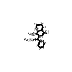 CC(=O)NC(c1ccccn1)c1cc(Cl)c2cccnc2c1O